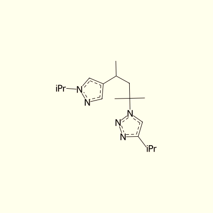 CC(C)c1cn(C(C)(C)CC(C)c2cnn(C(C)C)c2)nn1